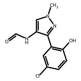 Cn1cc(NC=O)c(-c2cc(Cl)ccc2O)n1